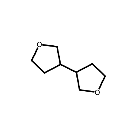 C1CC(C2CCOC2)CO1